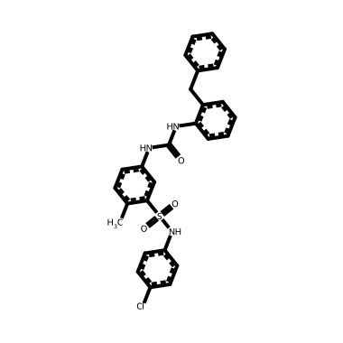 Cc1ccc(NC(=O)Nc2ccccc2Cc2ccccc2)cc1S(=O)(=O)Nc1ccc(Cl)cc1